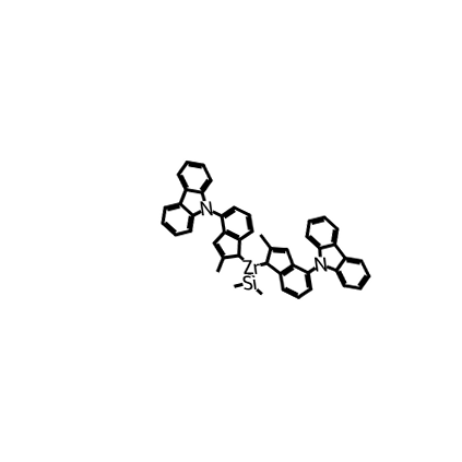 CC1=Cc2c(cccc2-n2c3ccccc3c3ccccc32)[CH]1[Zr]([CH]1C(C)=Cc2c1cccc2-n1c2ccccc2c2ccccc21)=[Si](C)C